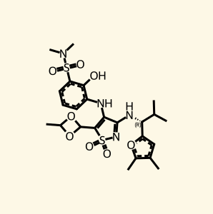 Cc1cc([C@H](NC2=NS(=O)(=O)C(C3OC(C)O3)=C2Nc2cccc(S(=O)(=O)N(C)C)c2O)C(C)C)oc1C